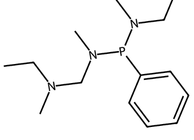 CCN(C)CN(C)P(c1ccccc1)N(C)CC